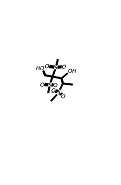 CC(C(O)C(CO)(S(C)(=O)=O)S(C)(=O)=O)S(C)(=O)=O